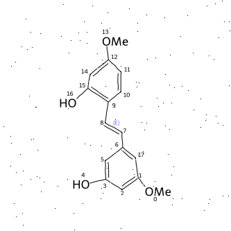 COc1cc(O)cc(/C=C/c2ccc(OC)cc2O)c1